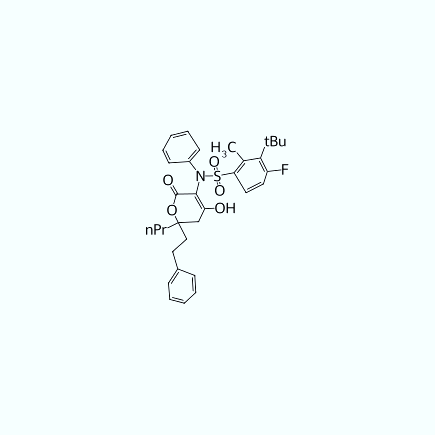 CCCC1(CCc2ccccc2)CC(O)=C(N(c2ccccc2)S(=O)(=O)c2ccc(F)c(C(C)(C)C)c2C)C(=O)O1